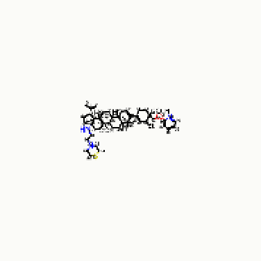 C=C(C)[C@@H]1CC[C@]2(NCCN3CCSCC3)CC[C@]3(C)[C@H](CC[C@@H]4[C@@]5(C)CC=C(C6=CC(CC)C(COc7ccccn7)(C(=O)O)CC6)C(C)(C)[C@@H]5CC[C@]43C)[C@@H]12